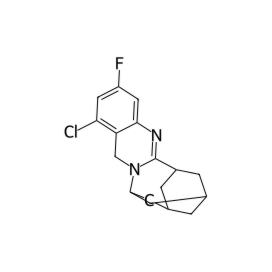 Fc1cc(Cl)c2c(c1)N=C1C3CC4CC(C3)CC(C4)N1C2